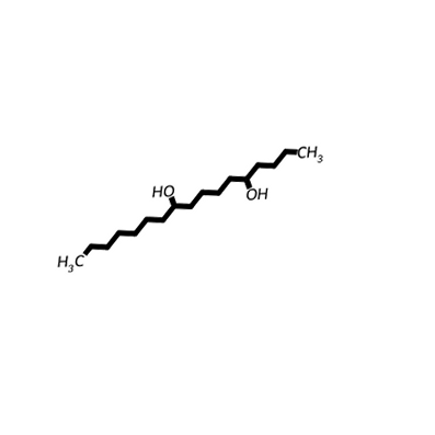 CCCCCCCC(O)CCCCC(O)CCCC